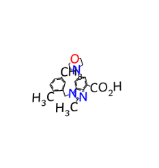 Cc1ccc(C)c(Cn2c(C)nc3c(C(=O)O)cc(N4CCOCC4)cc32)c1